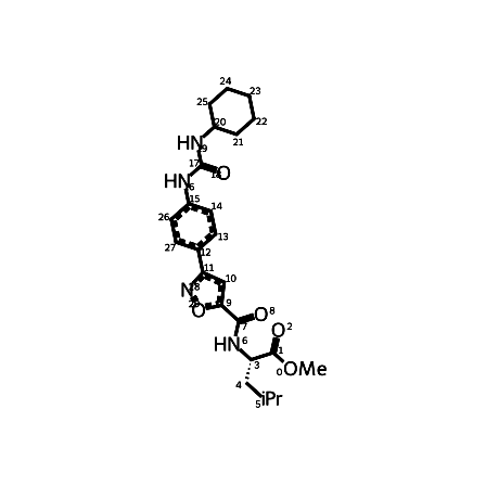 COC(=O)[C@H](CC(C)C)NC(=O)c1cc(-c2ccc(NC(=O)NC3CCCCC3)cc2)no1